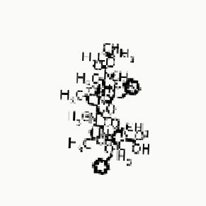 CC(C)CC(NC(=O)[C@H](Cc1ccccc1)N(C)C(=O)C(C)N(C)C(=O)OC(C)(C)C)C(=O)N(C)[C@@H](CC(C)C)C(=O)N[C@H](C(=O)N(C)CC(=O)O)C(C)OCc1ccccc1